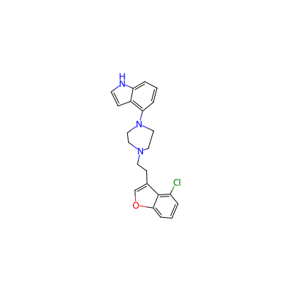 Clc1cccc2occ(CCN3CCN(c4cccc5[nH]ccc45)CC3)c12